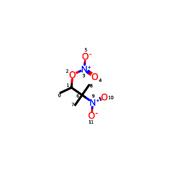 CC(O[N+](=O)[O-])C(C)(C)[N+](=O)[O-]